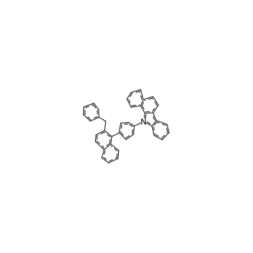 c1ccc(Cc2ccc3ccccc3c2-c2ccc(-n3c4ccccc4c4ccc5ccccc5c43)cc2)cc1